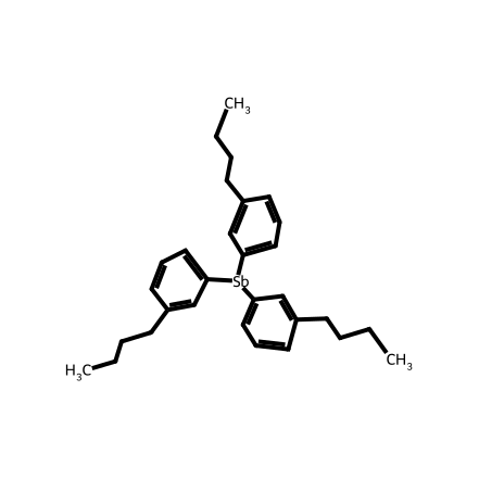 CCCCc1ccc[c]([Sb]([c]2cccc(CCCC)c2)[c]2cccc(CCCC)c2)c1